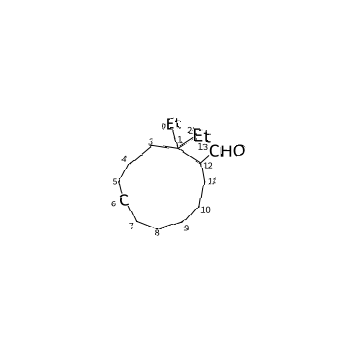 CCC1(CC)CCCCCCCCCC1C=O